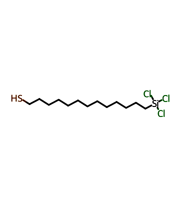 SCCCCCCCCCCCCC[Si](Cl)(Cl)Cl